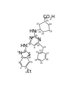 CCc1ccc2nc(Nc3cc(Cc4ccccc4)nc(NC4CCCC(C(=O)O)C4)n3)sc2c1